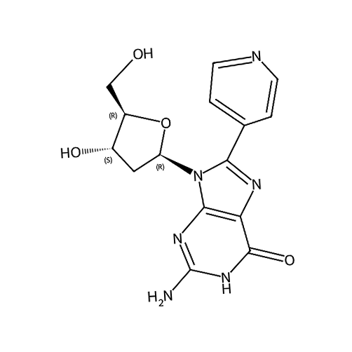 Nc1nc2c(nc(-c3ccncc3)n2[C@H]2C[C@H](O)[C@@H](CO)O2)c(=O)[nH]1